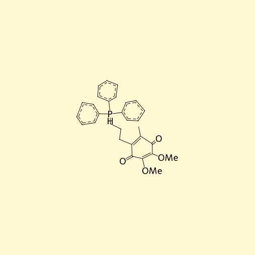 COC1=C(OC)C(=O)C(CCC[PH](c2ccccc2)(c2ccccc2)c2ccccc2)=C(C)C1=O